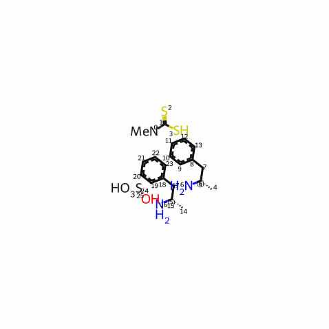 CNC(=S)S.C[C@H](N)Cc1ccccc1.C[C@H](N)Cc1ccccc1.O=S(=O)(O)O